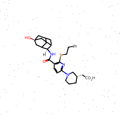 CC(C)CCSc1nc(N2CCC[C@@H](CC(=O)O)C2)ccc1C(=O)N[C@H]1C2CC3CC1C[C@@](O)(C3)C2